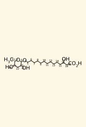 C[C@@H]1O[C@@H](OCCCCCCCCCCC[C@@H](O)CC(=O)O)[C@H](O)C[C@H]1O